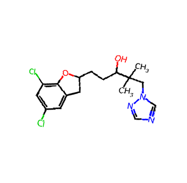 CC(C)(Cn1cncn1)C(O)CCC1Cc2cc(Cl)cc(Cl)c2O1